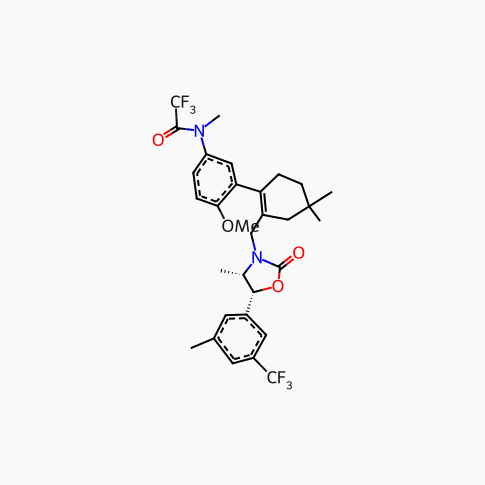 COc1ccc(N(C)C(=O)C(F)(F)F)cc1C1=C(CN2C(=O)O[C@H](c3cc(C)cc(C(F)(F)F)c3)[C@@H]2C)CC(C)(C)CC1